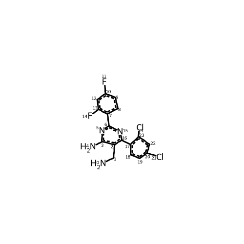 NCc1c(N)nc(-c2ccc(F)cc2F)nc1-c1ccc(Cl)cc1Cl